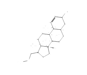 COCC1CC[C@H]2[C@@H]3CCC4CC(O)C=C[C@]4(C)[C@@H]3CC[C@]12C